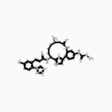 COC(=O)Nc1ccc2c(c1)NC(=O)C[C@H](C)CCC[C@H](NC(=O)C=Cc1cc(Cl)ccc1-n1cnnn1)c1nc-2c[nH]1